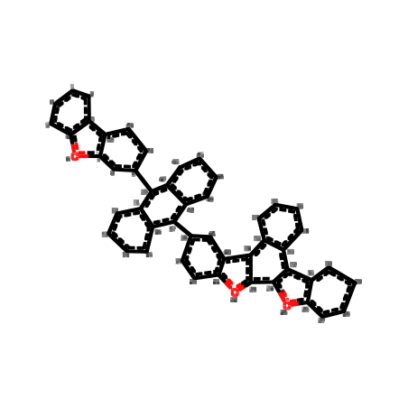 c1ccc2c(c1)oc1cc(-c3c4ccccc4c(-c4ccc5oc6c7oc8ccccc8c7c7ccccc7c6c5c4)c4ccccc34)ccc12